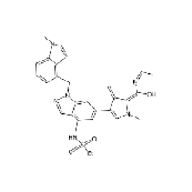 C=c1c(-c2cc(NS(=O)(=O)CC)c3cnn(Cc4cccc5c4ccn5C)c3c2)cn(C)/c1=C(O)/N=C\C